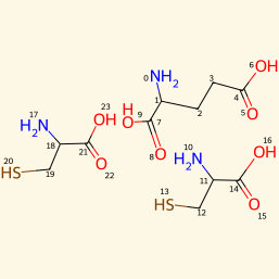 NC(CCC(=O)O)C(=O)O.NC(CS)C(=O)O.NC(CS)C(=O)O